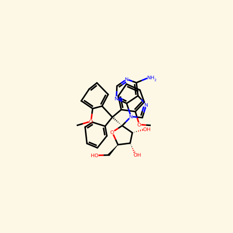 COc1ccccc1C(c1ccccc1)(c1ccccc1OC)[C@@]1(n2cnc3c(N)ncnc32)O[C@H](CO)[C@@H](O)[C@H]1O